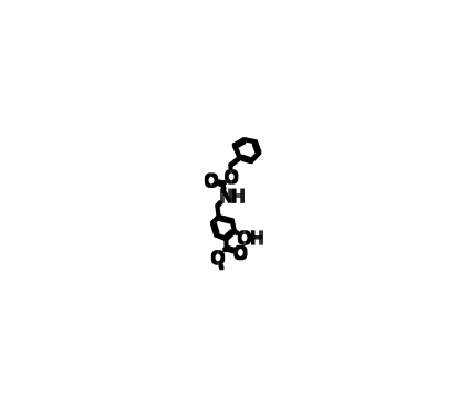 COC(=O)c1ccc(CNC(=O)OCc2ccccc2)cc1O